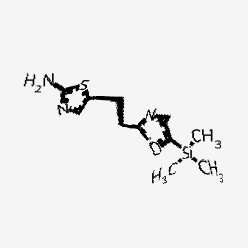 C[Si](C)(C)c1cnc(CCc2cnc(N)s2)o1